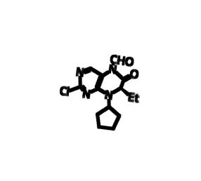 CC[C@@H]1C(=O)N(C=O)c2cnc(Cl)nc2N1C1CCCC1